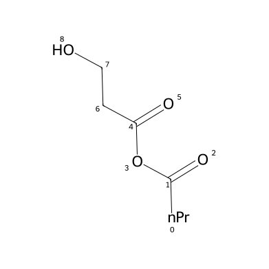 CCCC(=O)OC(=O)CCO